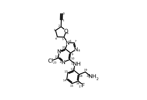 C#CC1CCC(n2cnc3c(Nc4cccc(F)c4CN)nc(Cl)nc32)O1